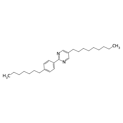 CCCCCCCCCc1cnc(-c2ccc(CCCCCCC)cc2)nc1